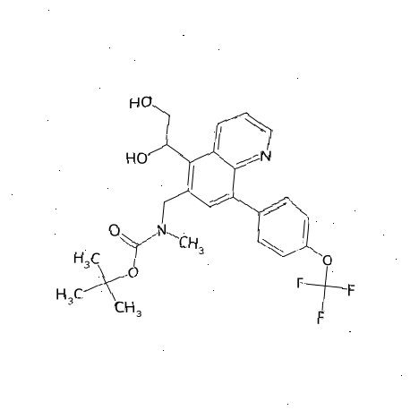 CN(Cc1cc(-c2ccc(OC(F)(F)F)cc2)c2ncccc2c1C(O)CO)C(=O)OC(C)(C)C